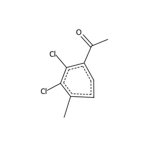 CC(=O)c1ccc(C)c(Cl)c1Cl